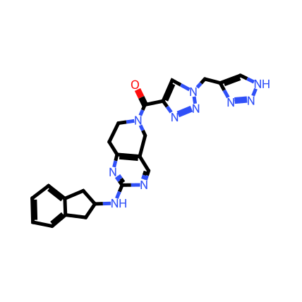 O=C(c1cn(Cc2c[nH]nn2)nn1)N1CCc2nc(NC3Cc4ccccc4C3)ncc2C1